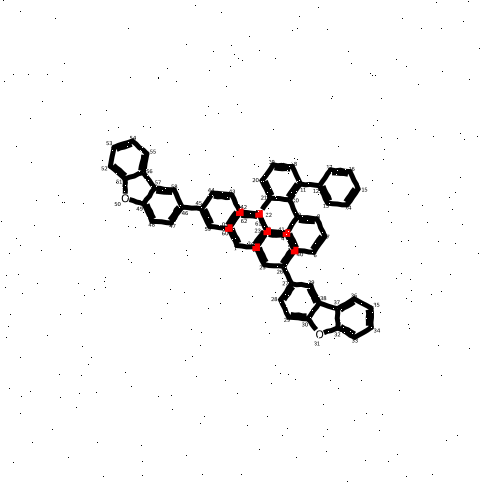 c1ccc(-c2ccccc2-c2c(-c3ccccc3)cccc2N(c2ccc(-c3ccc4oc5ccccc5c4c3)cc2)c2ccc(-c3ccc4oc5ccccc5c4c3)cc2)cc1